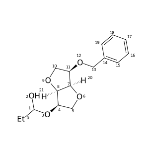 CCC(O)O[C@@H]1CO[C@H]2[C@@H]1OC[C@H]2OCc1ccccc1